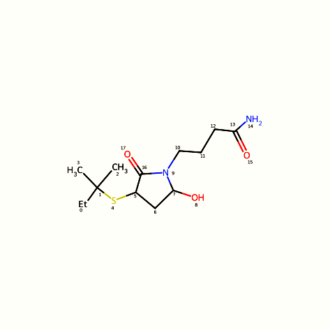 CCC(C)(C)SC1CC(O)N(CCCC(N)=O)C1=O